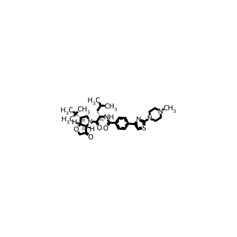 CC(C)C[C@H](NC(=O)c1ccc(-c2csc(N3CCN(C)CC3)n2)cc1)C(=O)N1C[C@@H](C(C)(C)C)[C@H]2OCC(=O)[C@H]21